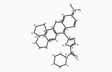 C[N+](C)=C1C=CC2=C(c3ccc(C(=O)N4CCCCC4)s3)c3cc4c5c(c3CC2=C1)CCCN5CCC4